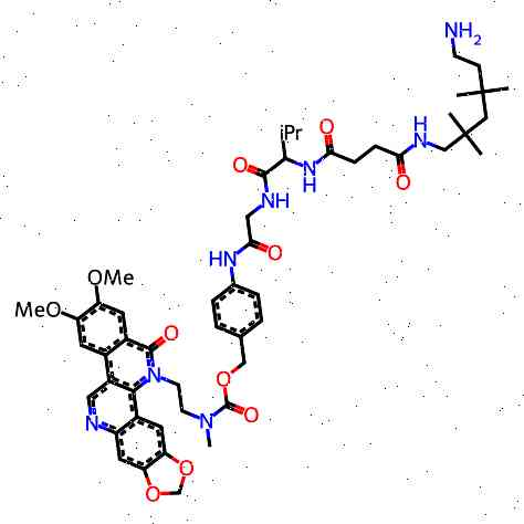 COc1cc2c(=O)n(CCN(C)C(=O)OCc3ccc(NC(=O)CNC(=O)C(NC(=O)CCC(=O)NCC(C)(C)CC(C)(C)CCN)C(C)C)cc3)c3c4cc5c(cc4ncc3c2cc1OC)OCO5